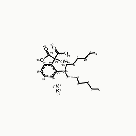 CCCCCCN(CCCCCC)c1ccccc1C(O)(C(=O)[O-])C(=O)[O-].[K+].[K+]